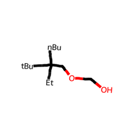 CCCCC(CC)(COCO)C(C)(C)C